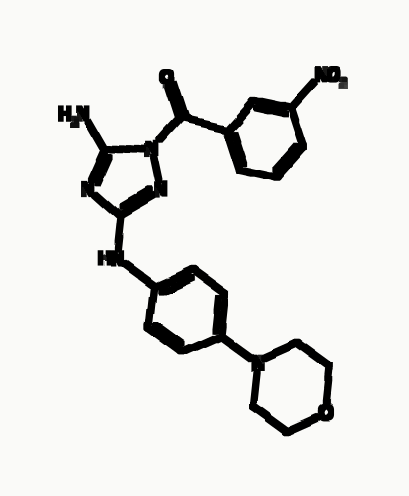 Nc1nc(Nc2ccc(N3CCOCC3)cc2)nn1C(=O)c1cccc([N+](=O)[O-])c1